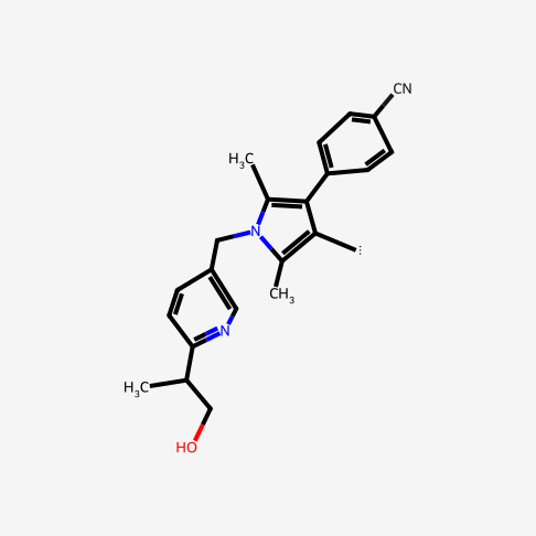 [C]c1c(-c2ccc(C#N)cc2)c(C)n(Cc2ccc(C(C)CO)nc2)c1C